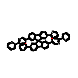 c1ccc(-c2ccc3c(c2)C2(c4cc(-c5ccc(-c6ccccn6)nc5)ccc4-3)c3cc(-c4ccc(-c5ccccn5)nc4)ccc3-c3ccc(-c4ccccn4)cc32)nc1